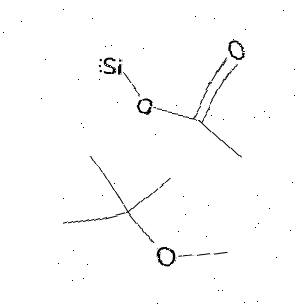 CC(=O)O[Si].COC(C)(C)C